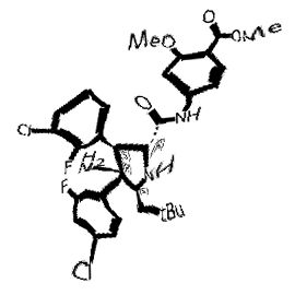 COC(=O)c1ccc(NC(=O)[C@@H]2N[C@@H](CC(C)(C)C)[C@](N)(c3ccc(Cl)cc3F)[C@H]2c2cccc(Cl)c2F)cc1OC